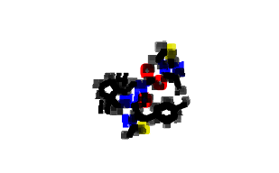 Cc1ccc(-c2sc(C)nc2C(=O)N2C[C@@H]3CCC[C@@H]3[C@H]2CNC(=O)Oc2c(C)nc3sccn23)cc1